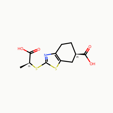 C[C@H](Sc1nc2c(s1)C[C@H](C(=O)O)CC2)C(=O)O